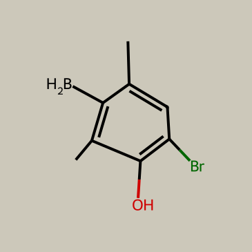 Bc1c(C)cc(Br)c(O)c1C